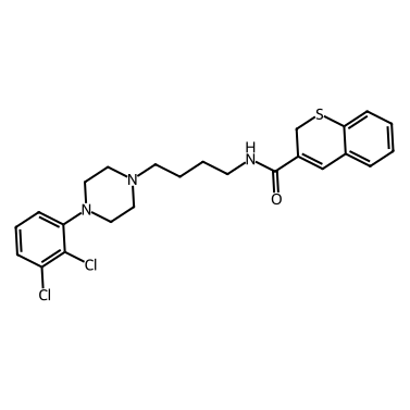 O=C(NCCCCN1CCN(c2cccc(Cl)c2Cl)CC1)C1=Cc2ccccc2SC1